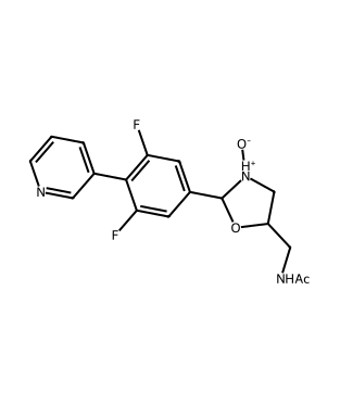 CC(=O)NCC1C[NH+]([O-])C(c2cc(F)c(-c3cccnc3)c(F)c2)O1